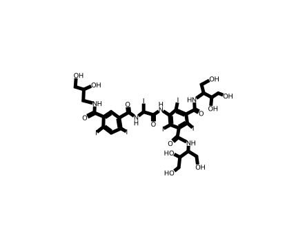 O=C(NCC(O)CO)c1cc(C(=O)NC(I)C(=O)Nc2c(I)c(C(=O)NC(CO)C(O)CO)c(I)c(C(=O)NC(CO)C(O)CO)c2I)c(I)cc1I